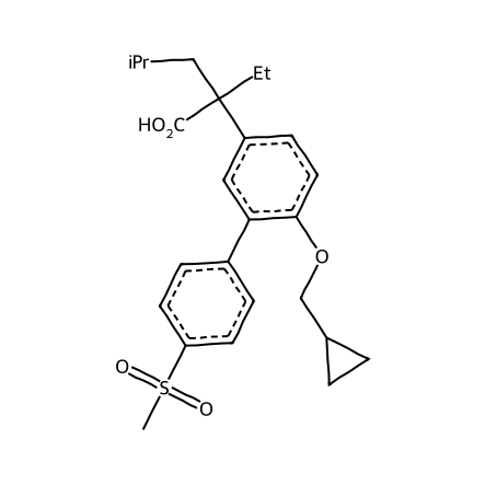 CCC(CC(C)C)(C(=O)O)c1ccc(OCC2CC2)c(-c2ccc(S(C)(=O)=O)cc2)c1